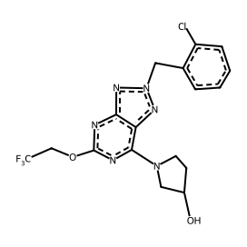 OC1CCN(c2nc(OCC(F)(F)F)nc3nn(Cc4ccccc4Cl)nc23)C1